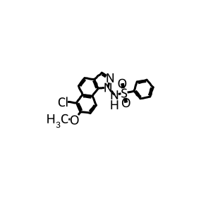 COc1ccc2c(ccc3cnn(NS(=O)(=O)c4ccccc4)c32)c1Cl